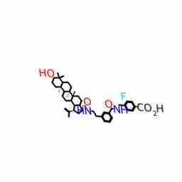 C=C(C)[C@@H]1CC[C@]2(C(=O)NCCc3cccc(C(=O)NCc4ccc(C(=O)O)cc4F)c3)CC[C@]3(C)C(CCC4[C@@]5(C)CC[C@H](O)C(C)(C)C5CC[C@]43C)C12